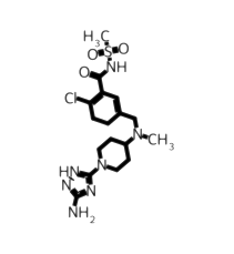 CN(CC1=CC(C(=O)NS(C)(=O)=O)=C(Cl)CC1)C1CCN(c2nc(N)n[nH]2)CC1